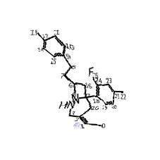 C/C=C1/CNN2C(CCc3ccc(C)cc3)CC2(c2ccc(C)cc2F)C1